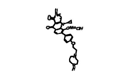 COc1c(-c2ccc(OCCN3CCNCC3)cc2)ccc2c(=O)c3c(=O)[nH]sc3n(C3CC3)c12.Cl